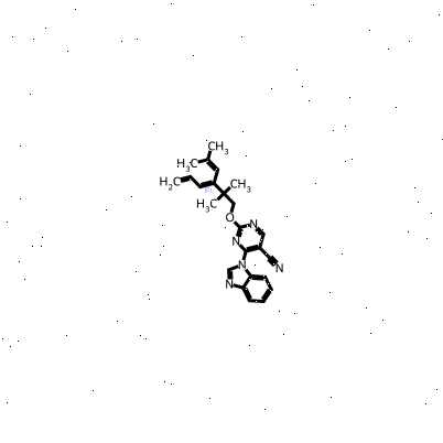 C=C/C=C(\C=C(C)C)C(C)(C)COc1ncc(C#N)c(-n2cnc3ccccc32)n1